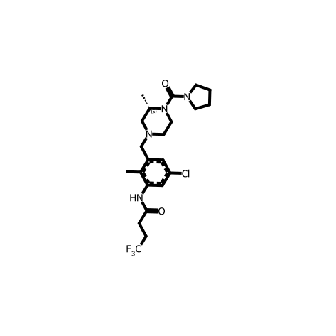 Cc1c(CN2CCN(C(=O)N3CCCC3)[C@@H](C)C2)cc(Cl)cc1NC(=O)CCC(F)(F)F